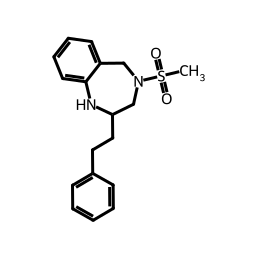 CS(=O)(=O)N1Cc2ccccc2NC(CCc2ccccc2)C1